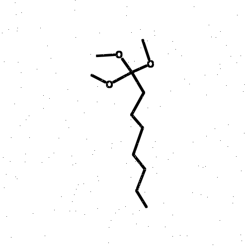 CCCCCCCC(OC)(OC)OC